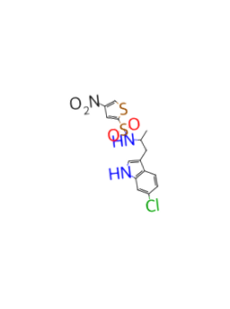 CC(Cc1c[nH]c2cc(Cl)ccc12)NS(=O)(=O)c1cc([N+](=O)[O-])cs1